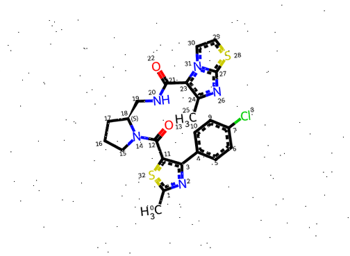 Cc1nc(-c2ccc(Cl)cc2)c(C(=O)N2CCC[C@H]2CNC(=O)c2c(C)nc3sccn23)s1